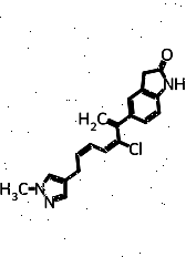 C=C(/C(Cl)=C\C=C/Cc1cnn(C)c1)c1ccc2c(c1)CC(=O)N2